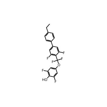 CCc1ccc(-c2cc(F)c(C(F)(F)Oc3cc(F)c(O)c(F)c3)c(F)c2)cc1